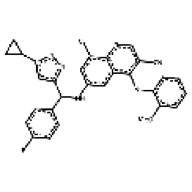 COc1ccccc1Nc1c(C#N)cnc2c(Cl)cc(NC(c3ccc(F)cc3)c3cn(C4CC4)nn3)cc12